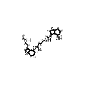 CCNCCc1csc2cccc(OC(=O)CCCNCCc3csc4cccc(O)c34)c12